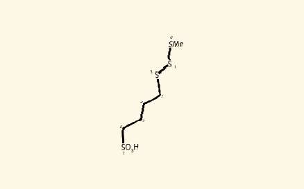 CSSSCCCCS(=O)(=O)O